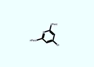 [CH2]Cc1cc(CCCCC)nc(CCCCC)c1